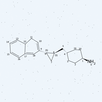 N[C@H]1CC[C@H](C[C@H]2C[C@@H]2C2=CCC3C=CC=CC3=C2)CC1